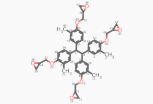 Cc1cc(C(c2ccc(OCC3CO3)c(C)c2)C(c2ccc(OCC3CO3)c(C)c2)c2ccc(OCC3CO3)c(C)c2)ccc1OCC1CO1